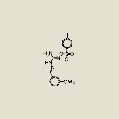 COc1cccc(C=NNC(N)=NOS(=O)(=O)c2ccc(C)cc2)c1